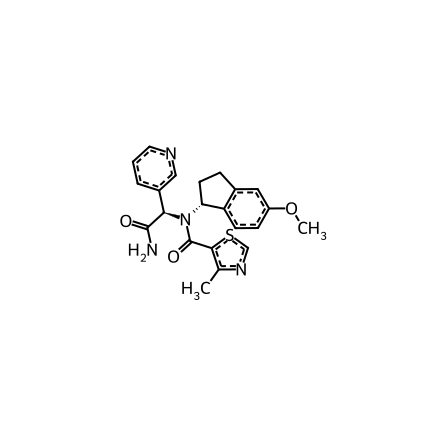 COc1ccc2c(c1)CC[C@H]2N(C(=O)c1scnc1C)[C@@H](C(N)=O)c1cccnc1